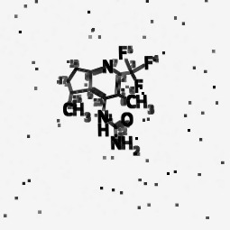 Cc1c(C(F)(F)F)nc2c(c1NC(N)=O)C(C)CC2